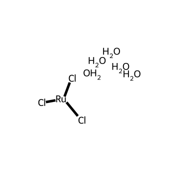 O.O.O.O.O.[Cl][Ru]([Cl])[Cl]